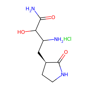 Cl.NC(=O)C(O)C(N)C[C@@H]1CCNC1=O